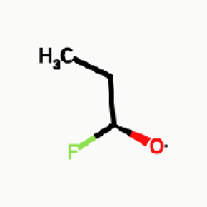 CC[C@@H]([O])F